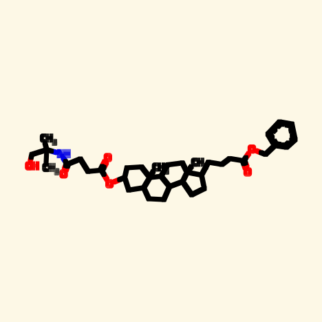 CC(C)(CO)NC(=O)CCC(=O)OC1CCC2(C)C(CCC3C4CCC(CCCC(=O)OCc5ccccc5)C4(C)CCC32)C1